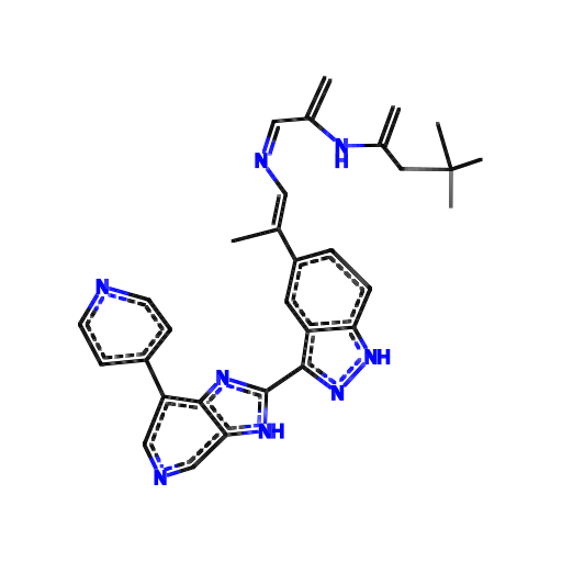 C=C(/C=N\C=C(/C)c1ccc2[nH]nc(-c3nc4c(-c5ccncc5)cncc4[nH]3)c2c1)NC(=C)CC(C)(C)C